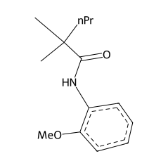 CCCC(C)(C)C(=O)Nc1ccccc1OC